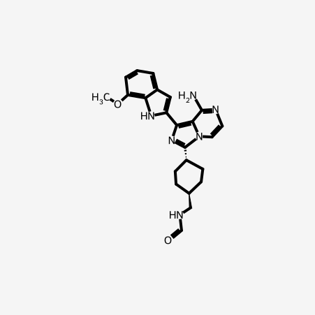 COc1cccc2cc(-c3nc([C@H]4CC[C@H](CNC=O)CC4)n4ccnc(N)c34)[nH]c12